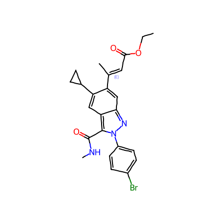 CCOC(=O)/C=C(\C)c1cc2nn(-c3ccc(Br)cc3)c(C(=O)NC)c2cc1C1CC1